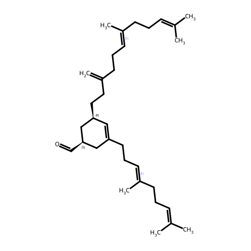 C=C(CC/C=C(\C)CCC=C(C)C)CC[C@H]1C=C(CC/C=C(\C)CCC=C(C)C)C[C@@H](C=O)C1